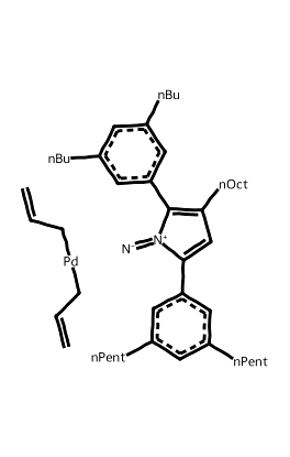 C=C[CH2][Pd][CH2]C=C.CCCCCCCCC1=C(c2cc(CCCC)cc(CCCC)c2)[N+](=[N-])C(c2cc(CCCCC)cc(CCCCC)c2)=C1